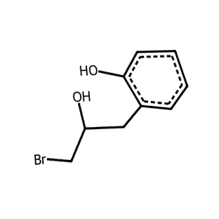 Oc1ccccc1CC(O)CBr